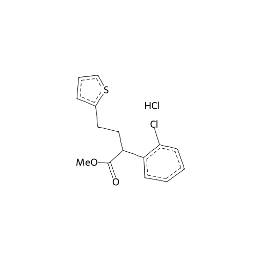 COC(=O)C(CCc1cccs1)c1ccccc1Cl.Cl